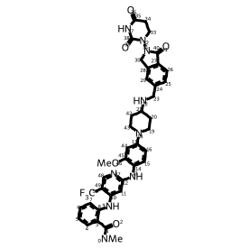 CNC(=O)c1ccccc1Nc1cc(Nc2ccc(N3CCC(NCc4ccc5c(c4)CN(N4CCC(=O)NC4=O)C5=O)CC3)cc2OC)ncc1C(F)(F)F